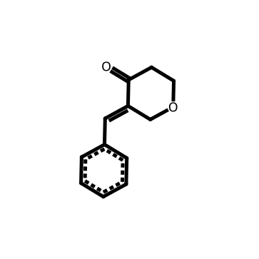 O=C1CCOC/C1=C\c1ccccc1